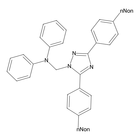 CCCCCCCCCc1ccc(-c2nc(-c3ccc(CCCCCCCCC)cc3)n(CN(c3ccccc3)c3ccccc3)n2)cc1